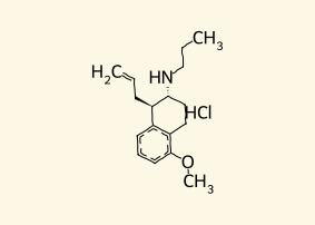 C=CC[C@@H]1c2cccc(OC)c2CC[C@H]1NCCC.Cl